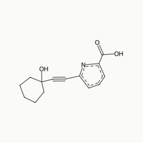 O=C(O)c1cccc(C#CC2(O)CCCCC2)n1